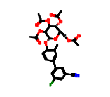 CC(=O)OC[C@H]1O[C@H](Oc2ccc(-c3cc(F)cc(C#N)c3)cc2C)[C@@H](OC(C)=O)[C@@H](OC(C)=O)[C@@H]1OC(C)=O